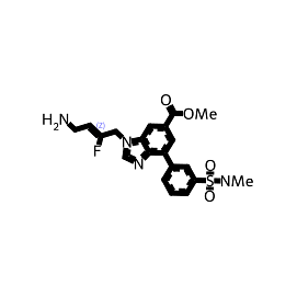 CNS(=O)(=O)c1cccc(-c2cc(C(=O)OC)cc3c2ncn3C/C(F)=C/CN)c1